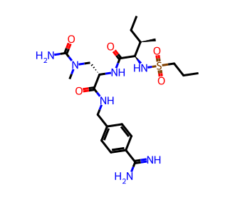 CCCS(=O)(=O)N[C@@H](C(=O)N[C@@H](CN(C)C(N)=O)C(=O)NCc1ccc(C(=N)N)cc1)[C@H](C)CC